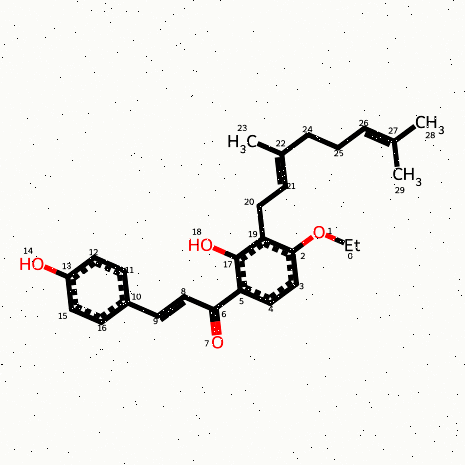 CCOc1ccc(C(=O)/C=C/c2ccc(O)cc2)c(O)c1C/C=C(\C)CCC=C(C)C